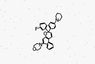 Fc1cccc(C2(c3ccc(N4CCCCC4)cc3)C=Cc3c(cc(N4CCOCC4)c4ccccc34)O2)c1